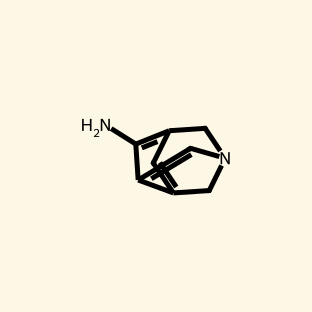 NC1=C2C=C3CN(C=C31)C2